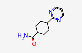 NC(=O)C1CCC(c2ncccn2)CC1